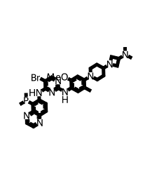 COc1cc(N2CCC(N3CC(N(C)C)C3)CC2)c(C)cc1Nc1ncc(Br)c(Nc2ccc3nccnc3c2P(C)C)n1